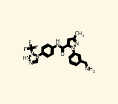 Cc1cc(C(=O)Nc2ccc(N3C=NNN3C(F)(F)F)cc2)n(-c2cccc(CN)c2)n1